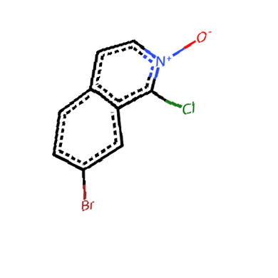 [O-][n+]1ccc2ccc(Br)cc2c1Cl